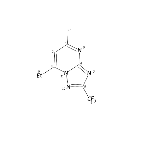 CCc1cc(C)nc2nc(C(F)(F)F)nn12